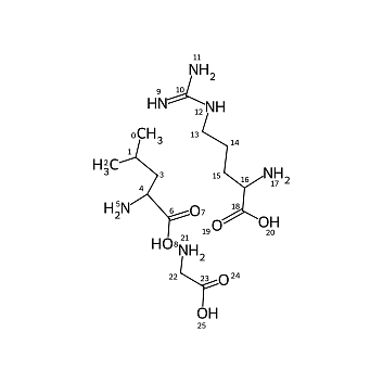 CC(C)CC(N)C(=O)O.N=C(N)NCCCC(N)C(=O)O.NCC(=O)O